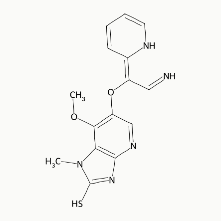 COc1c(O/C(C=N)=C2\C=CC=CN2)cnc2nc(S)n(C)c12